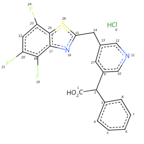 Cl.O=C(O)C(c1ccccc1)c1cncc(Cc2nc3c(F)c(F)cc(F)c3s2)c1